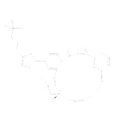 CC1(C)C[C@H]2CCCCCNc3cccc(n3)S(=O)(=O)NC(=O)c3ccc(-n4ccc(OCCC5(C(F)(F)F)CC5)n4)nc3N1C2